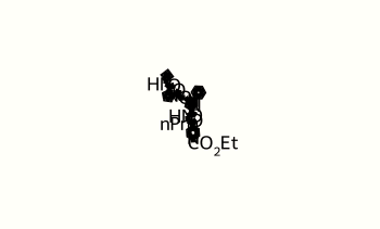 CCCC(NC(=O)c1cc(OCC(=O)N2CCCC2C(=O)NC2CCC2)n(-c2ccccc2)n1)C(=O)N1CCN(C(=O)OCC)CC1